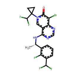 C[C@H](Nc1ncnc2c(Br)c(=O)n(C3(C(F)F)CC3)cc12)c1cccc(C(F)F)c1F